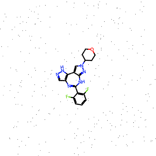 Fc1cccc(F)c1C1=Nc2cn[nH]c2-c2cn(C3CCOCC3)nc2N1